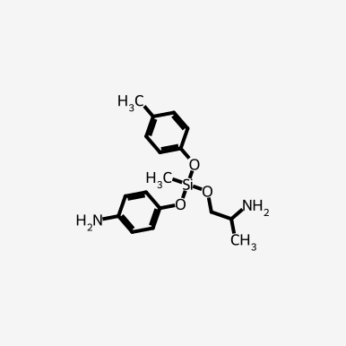 Cc1ccc(O[Si](C)(OCC(C)N)Oc2ccc(N)cc2)cc1